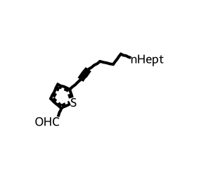 CCCCCCCCCCC#Cc1ccc(C=O)s1